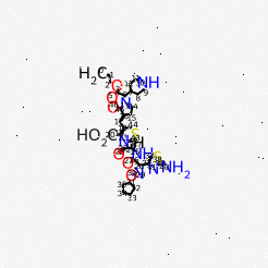 C=CCOC(=O)C(C1CCNCC1)N1CCC(=CC2=C(C(=O)O)N3C(=O)[C@@H](NC(=O)/C(=N\OC4CCCC4)c4csc(N)n4)[C@H]3SC2)C1=O